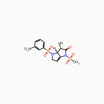 CCC[C@H]1C(=O)N(S(C)(=O)=O)C2=CCN(S(=O)(=O)c3cccc([N+](=O)[O-])c3)[C@@H]21